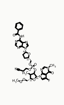 COOC[C@H]1O[C@@H](n2cc(F)c3c(=O)n(C)cnc32)C(OP(=O)(OCCC#N)OC[C@@H]2CC[C@H](n3cnc4c(NC(=O)c5ccccc5)ncnc43)O2)C1C